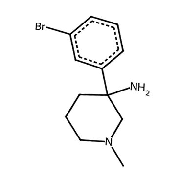 CN1CCCC(N)(c2cccc(Br)c2)C1